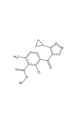 Cc1ccc(C(=O)c2cnoc2C2CC2)c(Cl)c1C(=O)OC(C)C